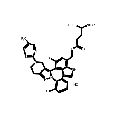 CCc1cccc(CC)c1-n1nc2c(c1-c1c(F)cc(COC(=O)CCC(NC(C)=O)C(=O)O)c3[nH]ccc13)CN(c1ncc(C(F)(F)F)cn1)CC2.Cl